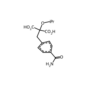 CC(C)OC(Cc1ccc(C(N)=O)cc1)(C(=O)O)C(=O)O